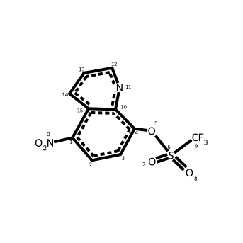 O=[N+]([O-])c1ccc(OS(=O)(=O)C(F)(F)F)c2ncccc12